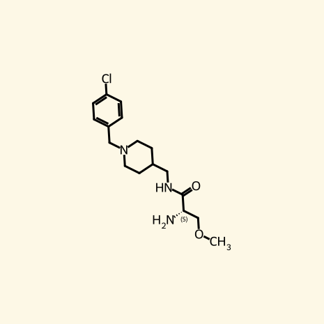 COC[C@H](N)C(=O)NCC1CCN(Cc2ccc(Cl)cc2)CC1